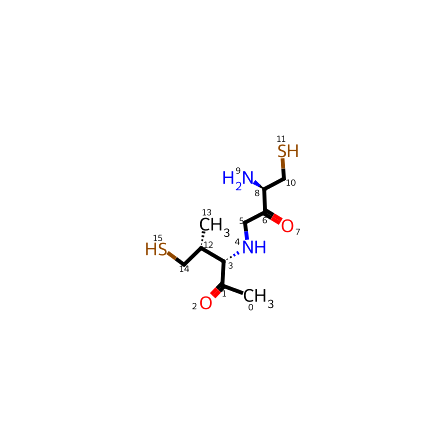 CC(=O)[C@@H](NCC(=O)[C@@H](N)CS)[C@@H](C)CS